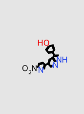 O=[N+]([O-])c1ccc(-c2cnc3[nH]cc(-c4ccc(O)cc4)c3c2)cn1